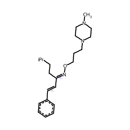 CC(C)CCC(/C=C/c1ccccc1)=N\OCCCN1CCN(C)CC1